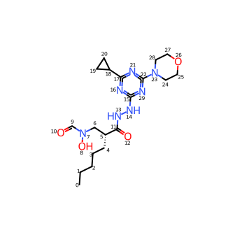 CCCCC[C@H](CN(O)C=O)C(=O)NNc1nc(C2CC2)nc(N2CCOCC2)n1